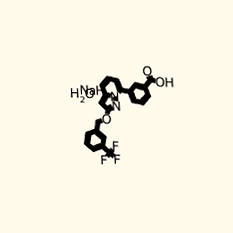 O.O=C(O)c1cccc(-c2cccc3cc(OCc4cccc(C(F)(F)F)c4)nn23)c1.[NaH]